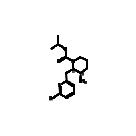 CC(C)OC(=O)N1CCC[C@@H](N)[C@H]1Cc1cccc(Br)n1